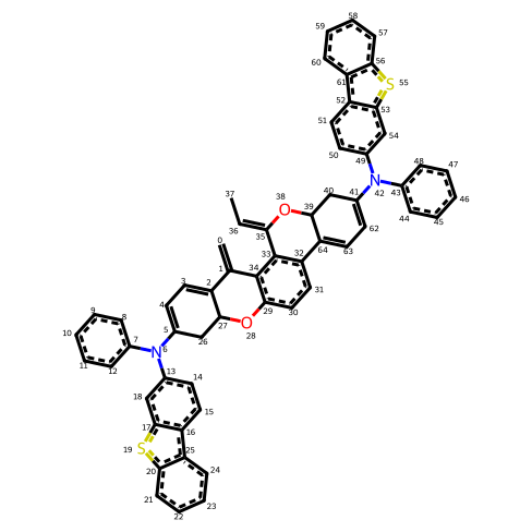 C=C1C2=CC=C(N(c3ccccc3)c3ccc4c(c3)sc3ccccc34)CC2Oc2ccc3c(c21)C(=CC)OC1CC(N(c2ccccc2)c2ccc4c(c2)sc2ccccc24)=CC=C31